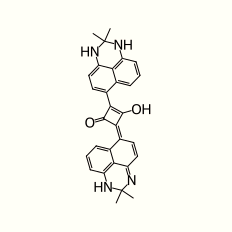 CC1(C)N=c2cc/c(=C3/C(=O)C(c4ccc5c6c(cccc46)NC(C)(C)N5)=C3O)c3cccc(c23)N1